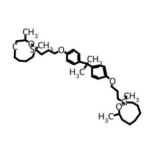 CC1CCCCCC[Si](C)(CCCOc2ccc(C(C)(C)c3ccc(OCCC[Si]4(C)CCCCCCC(C)O4)cc3)cc2)O1